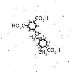 Cc1cc(C(=O)O)cc(C(=O)O)c1.Cc1ccc(C(=O)O)c(C)c1